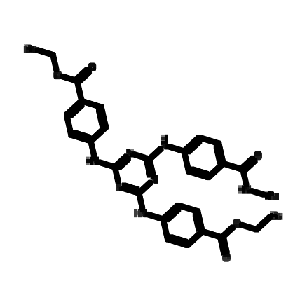 CCC(C)COC(=O)c1ccc(Nc2nc(Nc3ccc(C(=O)NC(C)(C)C)cc3)nc(Nc3ccc(C(=O)OCC(C)CC)cc3)n2)cc1